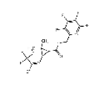 CC1(C)C(/C=C(/Cl)C(F)(F)F)C1C(=O)OCc1nc(F)c(F)c(F)c1F